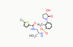 Cc1c(N2CC[C@H](O)C2=O)cccc1S(=O)(=O)N[C@@H](CNC(=O)c1ccc(Cl)s1)C(=O)O